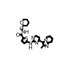 Cc1nc2ccccn2c1-c1ccnc(Nc2ccc(C(=O)NOC3CCCCO3)s2)n1